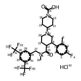 Cc1cc(F)ccc1C1CN(C2CCN(C(=O)O)CC2)CCC1C(=O)N(C)Cc1cc(C(F)(F)F)cc(C(F)(F)F)c1.Cl